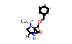 O=C(O)N1C[C@@H]2C[C@@]1(COCc1ccccc1)C(=O)N2